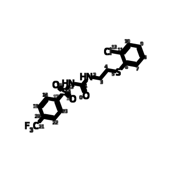 O=C(NCCSc1ccccc1Cl)NS(=O)(=O)c1ccc(C(F)(F)F)cc1